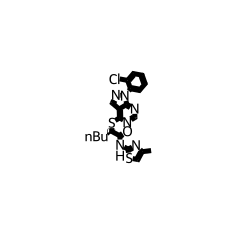 CCCC[C@@H](Sc1ncnc2c1cnn2-c1ccccc1Cl)C(=O)Nc1nc(C)cs1